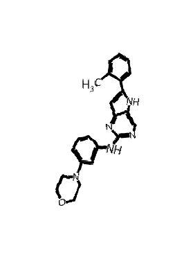 Cc1ccccc1-c1cc2nc(Nc3cccc(N4CCOCC4)c3)ncc2[nH]1